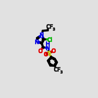 O=C(NS(=O)(=O)c1ccc(C(F)(F)F)cc1)c1ncn(CCC(F)(F)F)c1Cl